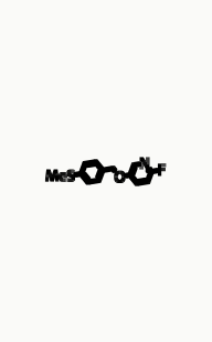 CSc1ccc(COc2ccc(F)nc2)cc1